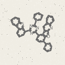 c1ccc(-c2nc(-c3cccc4c3sc3ccccc34)nc(-c3ccc(-c4ccccc4)c4oc5nc6ccccc6cc5c34)n2)cc1